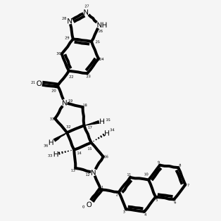 O=C(c1ccc2ccccc2c1)N1C[C@@H]2[C@H](C1)[C@H]1CN(C(=O)c3ccc4[nH]nnc4c3)C[C@@H]21